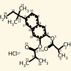 CC(C)C(=O)Oc1cc2ccc(C(C)(C)CN)cc2cc1OC(=O)C(C)C.Cl